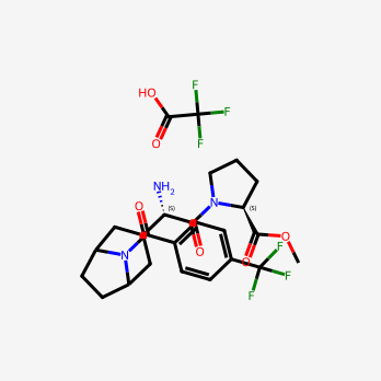 COC(=O)[C@@H]1CCCN1C(=O)[C@@H](N)C1CC2CCC(C1)N2C(=O)c1ccc(C(F)(F)F)cc1.O=C(O)C(F)(F)F